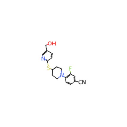 N#Cc1ccc(N2CCC(Sc3ccc(CO)cn3)CC2)c(F)c1